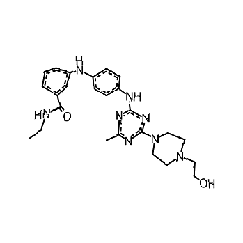 CCNC(=O)c1cccc(Nc2ccc(Nc3nc(C)nc(N4CCN(CCO)CC4)n3)cc2)c1